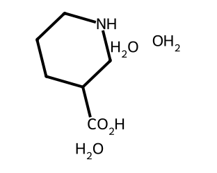 O.O.O.O=C(O)C1CCCNC1